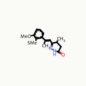 COc1cccc(C(C)=CC2=NNC(=O)CC2C)c1SC